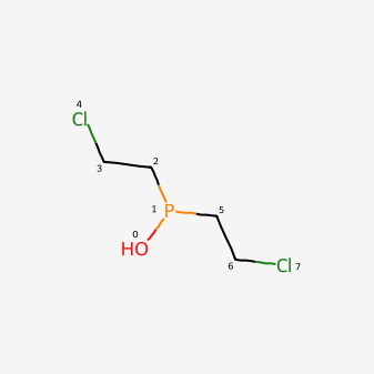 OP(CCCl)CCCl